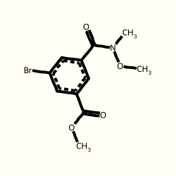 COC(=O)c1cc(Br)cc(C(=O)N(C)OC)c1